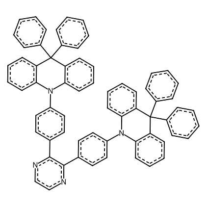 c1ccc(C2(c3ccccc3)c3ccccc3N(c3ccc(-c4nccnc4-c4ccc(N5c6ccccc6C(c6ccccc6)(c6ccccc6)c6ccccc65)cc4)cc3)c3ccccc32)cc1